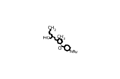 C=C/C=C\C=C(/CO)CCC1=C(C)C=C[C@H](C(=O)C2CCCC(CCCC)CC2)C1